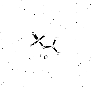 O=P(F)(F)OB([O-])[O-].[Li+].[Li+]